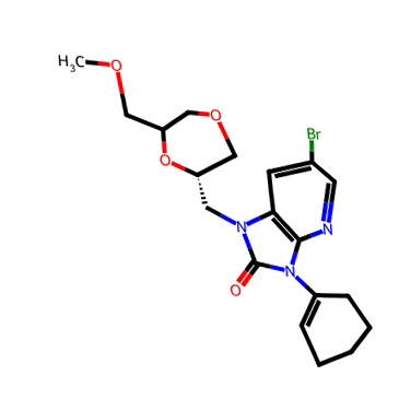 COCC1COC[C@H](Cn2c(=O)n(C3=CCCCC3)c3ncc(Br)cc32)O1